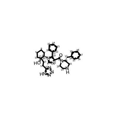 O=C(c1ncn([C@@H]2CCCC[C@@]2(O)CCc2nnn[nH]2)c1-c1ccccc1)N1CCNC[C@H]1Cc1ccccc1